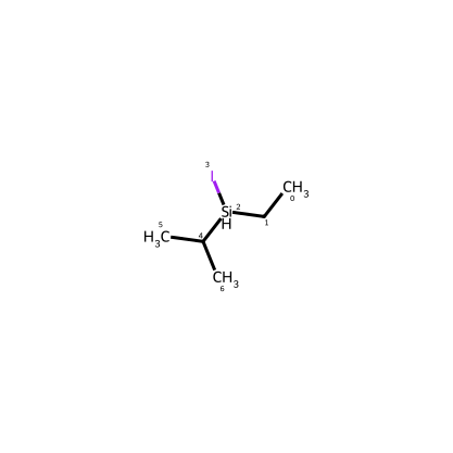 CC[SiH](I)C(C)C